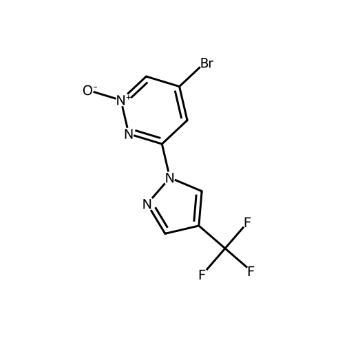 [O-][n+]1cc(Br)cc(-n2cc(C(F)(F)F)cn2)n1